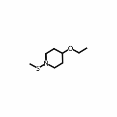 CCOC1CCN(SC)CC1